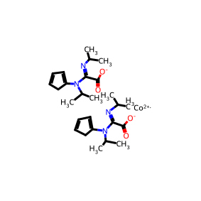 CC(C)N=C(C(=O)[O-])N(C1=CC=CC1)C(C)C.CC(C)N=C(C(=O)[O-])N(C1=CC=CC1)C(C)C.[Co+2]